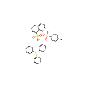 Cc1ccc(S(=O)(=O)Oc2cccc3cccc(S(=O)(=O)[O-])c23)cc1.c1ccc([S+](c2ccccc2)c2ccccc2)cc1